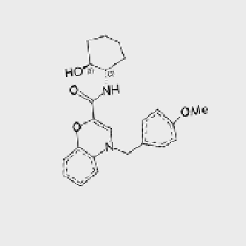 COc1ccc(CN2C=C(C(=O)N[C@H]3CCCC[C@@H]3O)Oc3ccccc32)cc1